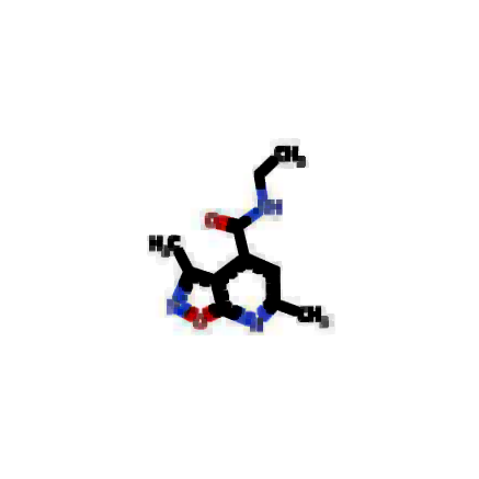 CCNC(=O)c1cc(C)nc2onc(C)c12